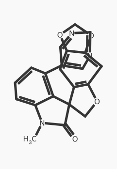 CN1C(=O)C2(COc3cc4c(cc32)OCO4)c2c(-c3cncnc3)cccc21